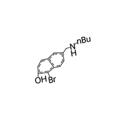 CCCCNCc1ccc2c(Br)c(O)ccc2c1